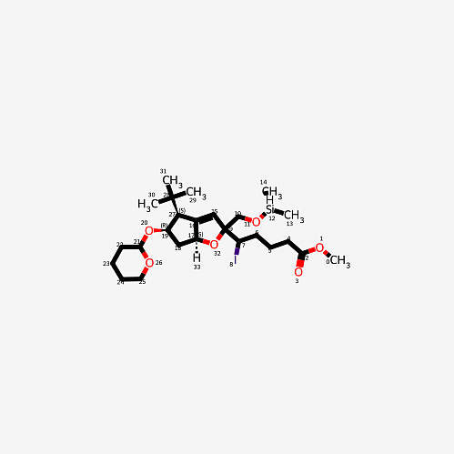 COC(=O)CCCC(I)C1(CO[SiH](C)C)C=C2[C@H](C[C@@H](OC3CCCCO3)[C@H]2C(C)(C)C)O1